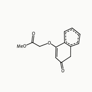 COC(=O)COC1=CC(=O)Cc2ccccc21